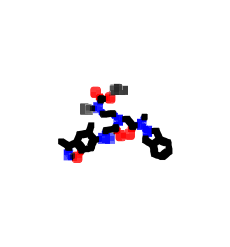 CCN(CCN(CC(=O)N(C)N1Cc2ccccc2C1)C(=O)CNc1cc2onc(C)c2cc1C)C(=O)OC(C)(C)C